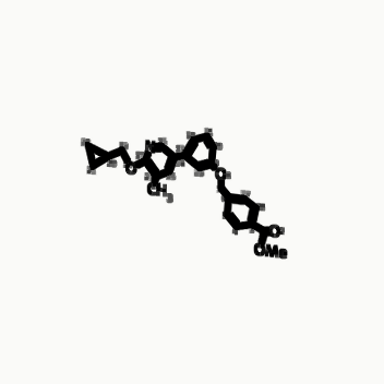 COC(=O)c1ccc(COc2cccc(-c3cnc(OCC4CC4)c(C)c3)c2)cc1